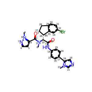 CN(C(=O)c1ccnn1C)C(C(=O)Nc1ccc(-c2cncn2C)cc1)[C@@H]1CCc2ccc(Br)cc21